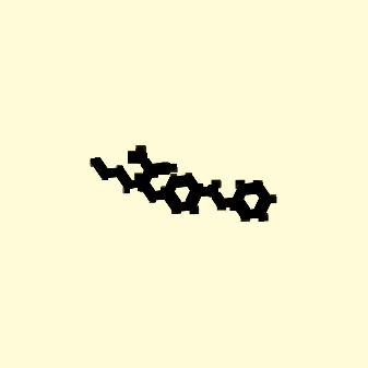 CCCC[C@H](Cc1ccc(OCc2ccccc2)cc1)C(=O)O